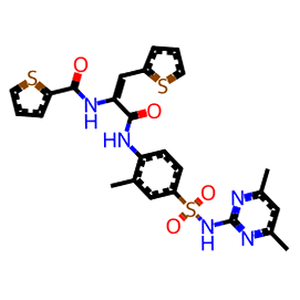 Cc1cc(C)nc(NS(=O)(=O)c2ccc(NC(=O)/C(=C\c3cccs3)NC(=O)c3cccs3)c(C)c2)n1